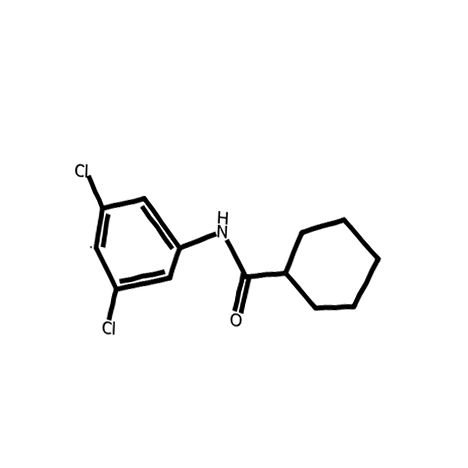 O=C(Nc1cc(Cl)[c]c(Cl)c1)C1CCCCC1